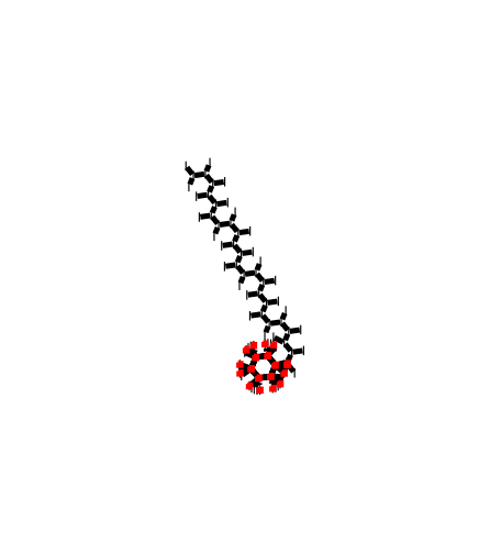 II(I)I(I)I(I)I(I)I(I)I(I)I(I)I(I)I(I)I(I)I(I)I(I)I(I)I(I)I(I)I(I)I(I)I(I)I(I)I(I)I(I)I(I)I(I)I(I)I(I)I(I)I(I)I(I)I(I)I(I)I(I)I(I)I(I)I(I)I(I)I(I)I(I)I(I)I(I)I(I)I(I)I(I)I(I)I(I)I(I)I(I)I(I)I(I)I(I)I(I)I(I)I(I)I(I)I(I)I